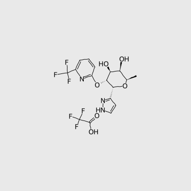 C[C@H]1O[C@H](c2cc[nH]n2)[C@H](Oc2cccc(C(F)(F)F)n2)[C@@H](O)[C@H]1O.O=C(O)C(F)(F)F